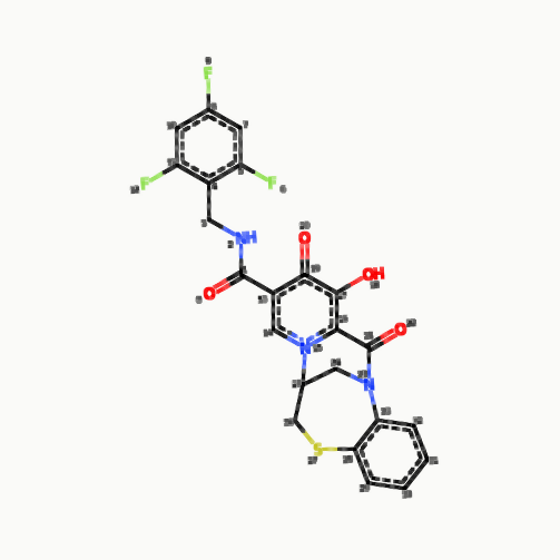 O=C(NCc1c(F)cc(F)cc1F)c1cn2c(c(O)c1=O)C(=O)N1CC2CSc2ccccc21